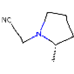 C[C@H]1CCCN1CC#N